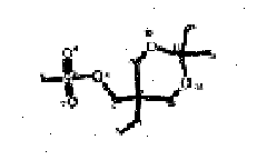 CCC1(COS(C)(=O)=O)COC(C)(C)OC1